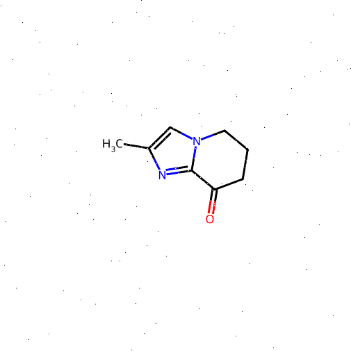 Cc1cn2c(n1)C(=O)CCC2